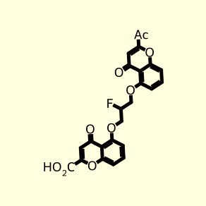 CC(=O)c1cc(=O)c2c(OCC(F)COc3cccc4oc(C(=O)O)cc(=O)c34)cccc2o1